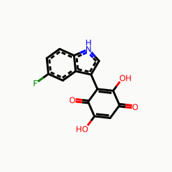 O=C1C=C(O)C(=O)C(c2c[nH]c3ccc(F)cc23)=C1O